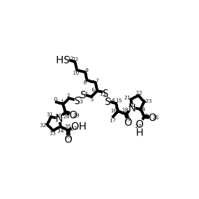 CC(CSSCC(CCCCCS)SSCC(C)C(=O)N1CCCC1C(=O)O)C(=O)N1CCCC1C(=O)O